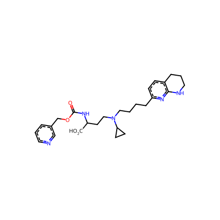 O=C(NC(CCN(CCCCc1ccc2c(n1)NCCC2)C1CC1)C(=O)O)OCc1cccnc1